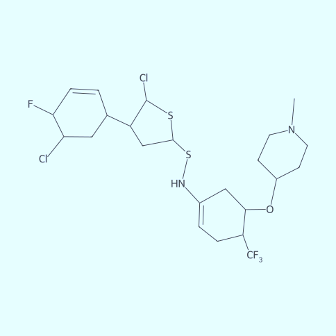 CN1CCC(OC2CC(NSC3CC(C4C=CC(F)C(Cl)C4)C(Cl)S3)=CCC2C(F)(F)F)CC1